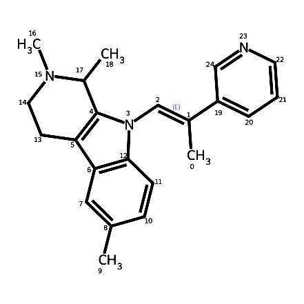 C/C(=C\n1c2c(c3cc(C)ccc31)CCN(C)C2C)c1cccnc1